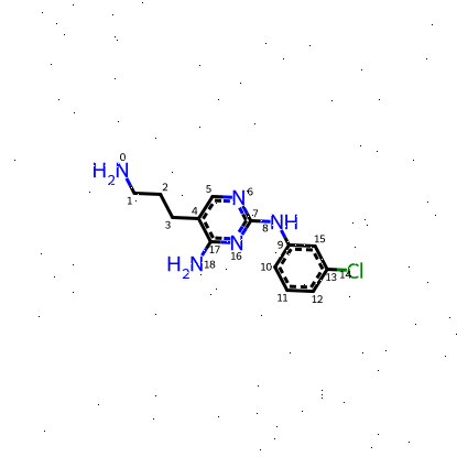 NCCCc1cnc(Nc2cccc(Cl)c2)nc1N